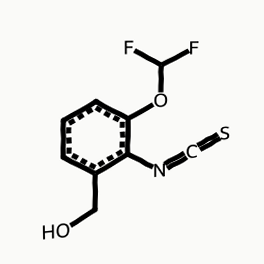 OCc1cccc(OC(F)F)c1N=C=S